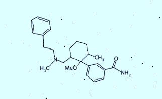 COC1(c2cccc(C(N)=O)c2)C(C)CCCC1CN(C)CCc1ccccc1